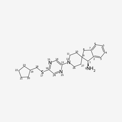 N[C@@H]1c2ccccc2CC12CCN(c1cnc(SCC3CCCC3)cn1)CC2